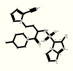 CC1CCN(C(=O)C(CCn2cccc2C#N)NS(=O)(=O)C2C(Cl)N=C3SC=CN32)CC1